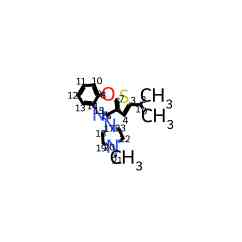 CC(C)c1cc2c(s1)Oc1ccccc1N=C2N1CCN(C)CC1